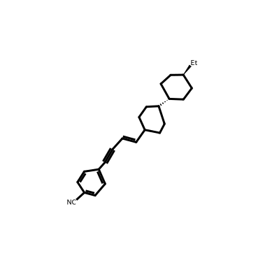 CC[C@H]1CC[C@H](C2CCC(C=CC#Cc3ccc(C#N)cc3)CC2)CC1